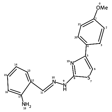 COc1ccc(-c2csc(NN=Cc3cc[c]cc3N)n2)cc1